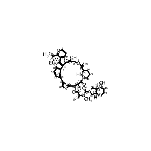 CCn1c(-c2cccnc2[C@H](C)OC)c2c3cc(ccc31)-c1csc(n1)C[C@H](NC(=O)C(C(C)C)N(C)C(=O)N1C[C@@H]3OCCN(C)[C@@H]3C1)C(=O)N1CCC[C@H](N1)C(=O)OCC(C)(C)C2